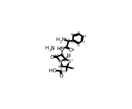 CC1(C)S[C@@H]2[C@H](NC(=O)C(N)c3ccccc3)C(=O)N2[C@H]1C(=O)O.N